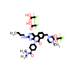 CCCCNc1ncc2c3ccc(CN4CCN(C)CC4)cc3c(=O)n([C@H]3CC[C@H](C(=O)N(C)C)CC3)c2n1.O=C(O)C(F)(F)F.O=C(O)C(F)(F)F.O=C(O)C(F)(F)F